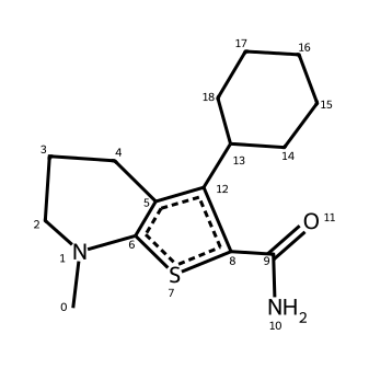 CN1CCCc2c1sc(C(N)=O)c2C1CCCCC1